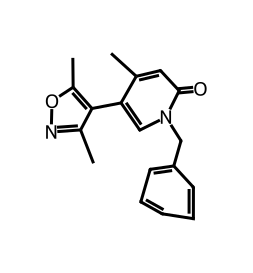 Cc1cc(=O)n(Cc2ccccc2)cc1-c1c(C)noc1C